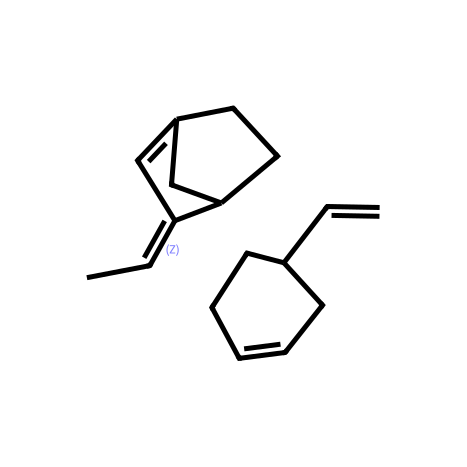 C/C=C1\C=C2CCC1C2.C=CC1CC=CCC1